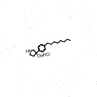 CCCCCCCCc1ccc(C2(O)CCNC2)cc1.Cl